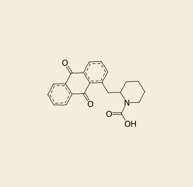 O=C1c2ccccc2C(=O)c2c(CC3CCCCN3C(=O)O)cccc21